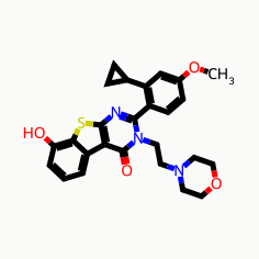 COc1ccc(-c2nc3sc4c(O)cccc4c3c(=O)n2CCN2CCOCC2)c(C2CC2)c1